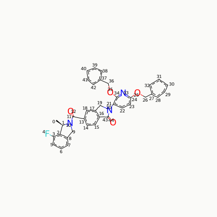 C[C@@H]1c2c(F)cccc2CN1C(=O)c1ccc2c(c1)CN(c1ccc(OCc3ccccc3)nc1OCc1ccccc1)C2=O